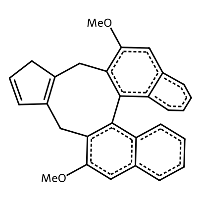 COc1cc2ccccc2c2c1CC1=C(CC=C1)Cc1c(OC)cc3ccccc3c1-2